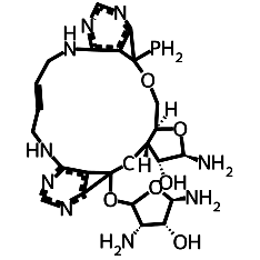 N[C@@H]1O[C@@H]2COC3(P)c4ncnc(c43)NC/C=C/CNc3ncnc4c3C4(OC3O[C@@H](N)[C@H](O)[C@@H]3N)C[C@H]2[C@H]1O